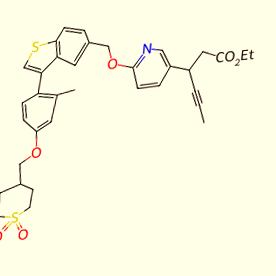 CC#CC(CC(=O)OCC)c1ccc(OCc2ccc3scc(-c4ccc(OCC5CCS(=O)(=O)CC5)cc4C)c3c2)nc1